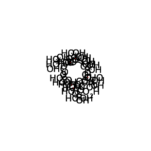 O=CC1OC(=O)c2cc(O)c(O)c(O)c2Oc2cc3c(c(O)c2O)-c2c(cc(Oc4c(C(=O)O)cc(O)c(O)c4O)c(O)c2O)C(=O)OCC(O)C(OC3=O)C(OC(=O)c2cc(O)c(O)c(O)c2)C(C=O)OC(=O)c2cc(O)c(O)c(O)c2Oc2cc3c(c(O)c2O)-c2c(cc(O)c(O)c2O)C(=O)OC(C(O)COC3=O)C1OC(=O)c1cc(O)c(O)c(O)c1